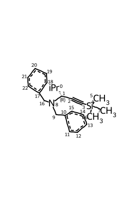 CC(C)[C@H](C#C[Si](C)(C)C)N(Cc1ccccc1)Cc1ccccc1